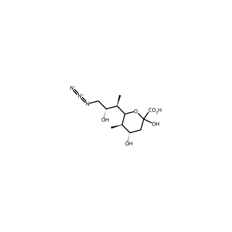 C[C@@H](C1OC(O)(C(=O)O)C[C@H](O)[C@H]1C)[C@H](O)CN=[N+]=[N-]